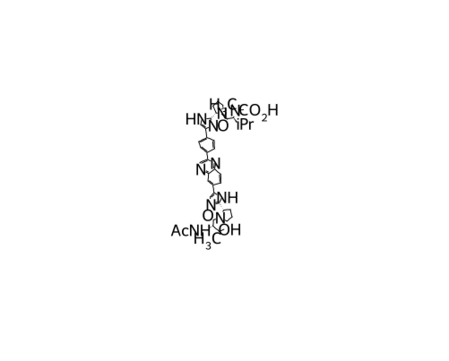 CC(=O)N[C@H](C(=O)N1CCC[C@H]1c1ncc(-c2ccc3nc(-c4ccc(-c5c[nH]c([C@@H]6CCCN6C(=O)[C@H](C(C)C)N(C)C(=O)O)n5)cc4)cnc3c2)[nH]1)C(C)O